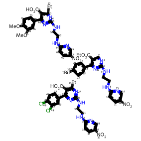 CCOC(=O)c1cnc(NCCNc2ccc([N+](=O)[O-])cn2)nc1-c1ccc(C(C)(C)C)cc1.CCc1nc(NCCNc2ccc([N+](=O)[O-])cn2)nc(-c2ccc(Cl)c(Cl)c2)c1C(=O)O.CCc1nc(NCCNc2ccc([N+](=O)[O-])cn2)nc(-c2ccc(OC)c(OC)c2)c1C(=O)O